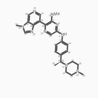 CNc1nc(Nc2ccc([C@H](C)N3CCN(C)CC3)cc2)cnc1-c1cncc2c1ncn2C